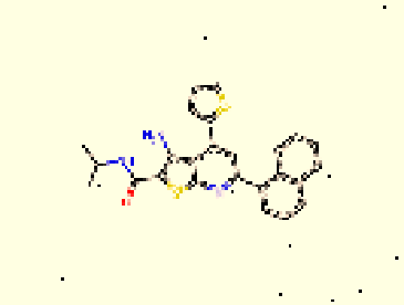 CC(C)NC(=O)c1sc2nc(-c3cccc4ccccc34)cc(-c3cccs3)c2c1N